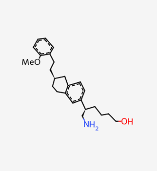 COc1ccccc1CC[C@@H]1CCc2cc([C@H](CN)CCCCO)ccc2C1